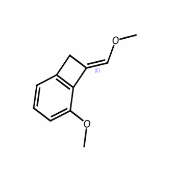 CO/C=C1\Cc2cccc(OC)c21